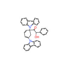 O=C(C(O)c1ccccc1)C1(n2c3ccccc3c3ccccc32)C=CC=C(n2c3ccccc3c3ccccc32)C1